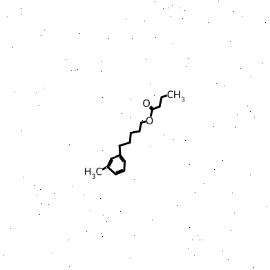 CCCC(=O)OCCCCCc1cccc(C)c1